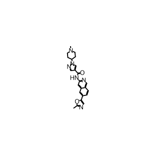 Cc1ncc(-c2ccc3cnc(NC(=O)c4cnn(C5CCN(C)CC5)c4)cc3c2)o1